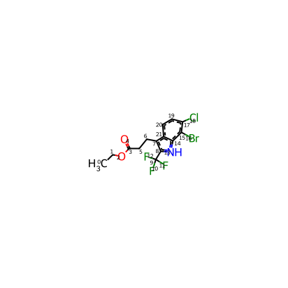 CCOC(=O)CCc1c(C(F)(F)F)[nH]c2c(Br)c(Cl)ccc12